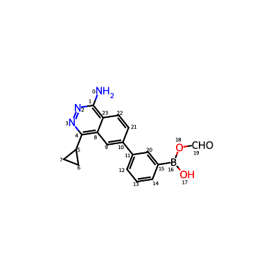 Nc1nnc(C2CC2)c2cc(-c3cccc(B(O)OC=O)c3)ccc12